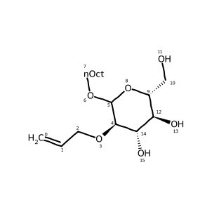 C=CCO[C@H]1C(OCCCCCCCC)O[C@H](CO)[C@@H](O)[C@@H]1O